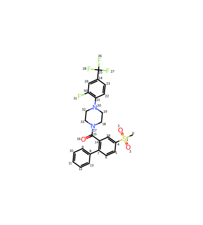 CS(=O)(=O)c1ccc(-c2ccccc2)c(C(=O)N2CCN(c3ccc(C(F)(F)F)cc3F)CC2)c1